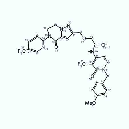 COc1ccc(Cn2ncc(N[C@@H](C)COCc3cc4n(n3)CCN(c3ccc(C(F)(F)F)cn3)C4=O)c(C(F)(F)F)c2=O)cc1